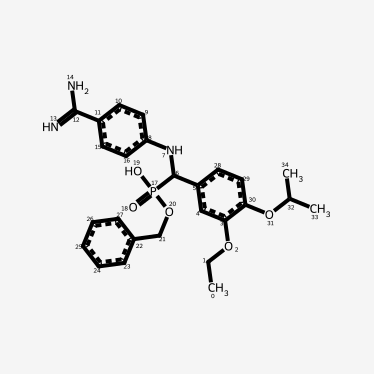 CCOc1cc(C(Nc2ccc(C(=N)N)cc2)P(=O)(O)OCc2ccccc2)ccc1OC(C)C